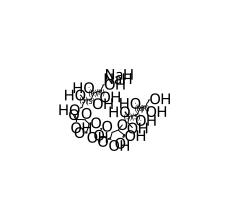 O=C(OC(C(=O)O)C(OC(O)[C@@H](O)[C@@H](O)[C@H](O)[C@H](O)CO)C(=O)O)OC(C(=O)O)C(OC(O)[C@@H](O)[C@@H](O)[C@H](O)[C@H](O)CO)C(=O)O.[NaH].[NaH]